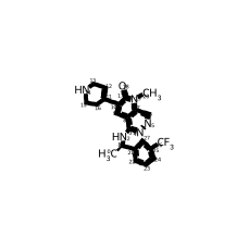 C[C@@H](Nc1nncc2c1cc(C1=CCNCC1)c(=O)n2C)c1cccc(C(F)(F)F)c1